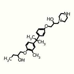 CCC(O)COc1ccc(C(C)(C)c2ccc(OCC(O)CN3CCNCC3)cc2)cc1C